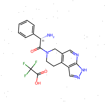 N[C@H](C(=O)N1CCc2c(cnc3[nH]ncc23)C1)c1ccccc1.O=C(O)C(F)(F)F